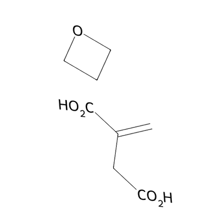 C1COC1.C=C(CC(=O)O)C(=O)O